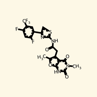 Cc1oc2[nH]c(=O)n(C)c(=O)c2c1CC(=O)Nc1nc(-c2cc(C(F)(F)F)c(F)cc2F)cs1